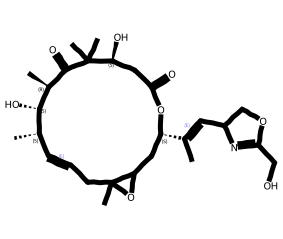 C/C(=C\C1COC(CO)=N1)[C@@H]1CC2OC2(C)C/C=C/[C@H](C)[C@H](O)[C@@H](C)C(=O)C(C)(C)[C@@H](O)CC(=O)O1